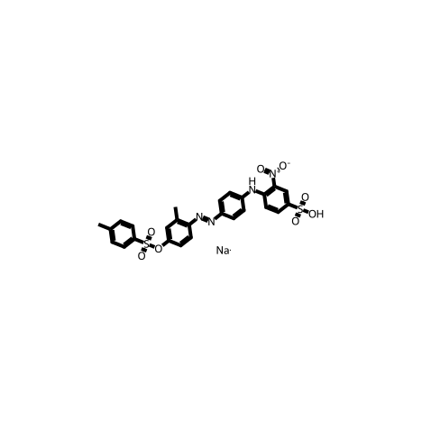 Cc1ccc(S(=O)(=O)Oc2ccc(N=Nc3ccc(Nc4ccc(S(=O)(=O)O)cc4[N+](=O)[O-])cc3)c(C)c2)cc1.[Na]